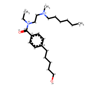 CCCCCCN(C)CCN(CC)C(=O)c1ccc(CCCCC[O])cc1